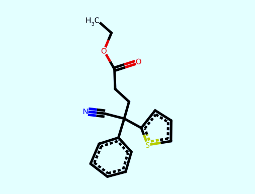 CCOC(=O)CCC(C#N)(c1ccccc1)c1cccs1